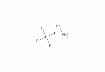 CC[PH3+].F[B-](F)(F)F